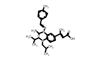 C/C(=C\C(=O)O)c1ccc(N(CC(C)C)CC(C)C)c(N(/N=C/c2ccc(C)cc2)C(N)=O)c1